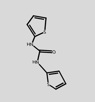 O=C(Nc1cccs1)Nc1cccs1